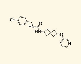 O=C(NCc1ccc(Cl)cc1)NC1CC2(C1)CC(Oc1cccnc1)C2